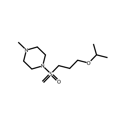 C=S(=O)(CCCOC(C)C)N1CCN(C)CC1